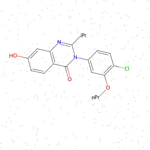 CCCOc1cc(-n2c(C(C)C)nc3cc(O)ccc3c2=O)ccc1Cl